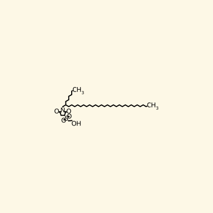 CCCCCCCCCCCCCCCCCCCCCCCCCCCCC(CCCCCC)CN1C(=O)CC(S(=O)(=O)CCO)C1=O